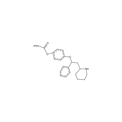 CCCCCCC(=O)Oc1ccc(OC(CC2CCCCN2)c2ccccc2)cc1